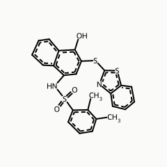 Cc1cccc(S(=O)(=O)Nc2cc(Sc3nc4ccccc4s3)c(O)c3ccccc23)c1C